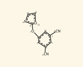 N#Cc1cc(C#N)cc(Oc2nc[c]o2)c1